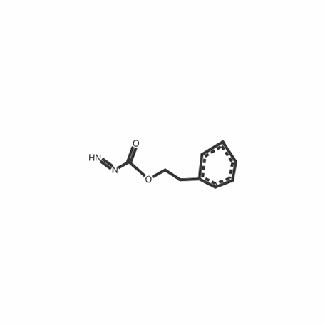 N=NC(=O)OCCc1ccccc1